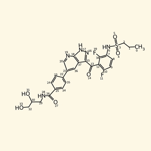 CCCS(=O)(=O)Nc1ccc(F)c(C(=O)c2n[nH]c3ncc(-c4ccc(C(=O)NCC(O)CO)cc4)cc23)c1F